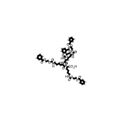 O=C(NCCCCC(NC(=O)C(CCCCNC(=O)OCCOC(=O)c1ccccc1)NC(=O)C(CCCCNC(=O)OCCOC(=O)c1ccccc1)NC(=O)OCCOC(=O)c1ccccc1)C(=O)O)OCCOC(=O)c1ccccc1